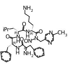 Cc1cnc(CN(N=O)C(=O)[C@@H](CCCCN)NC(=O)[C@@H](CC(C)C)NC(=O)[C@@H](Cc2ccccc2)NC(=O)[C@H](N)Cc2ccccc2)cn1